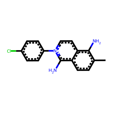 Cc1ccc2c(N)[n+](-c3ccc(Cl)cc3)ccc2c1N